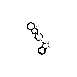 c1ccc2c(N3CC[N+]4(CC3)CC3CCCC[C@H]3C4)nsc2c1